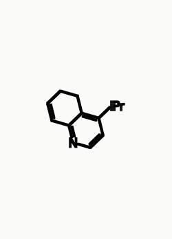 CC(C)c1ccnc2c1CCC=C2